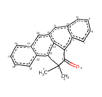 CC1(C)C(=O)c2c3ccccc3cc3cc4ccccc4c1c23